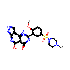 CCCOc1ccc(S(=O)(=O)N2CCN(CC)CC2)cc1-c1nc(=O)c2c(O)nc3n[nH]cc3c2[nH]1